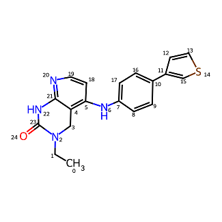 CCN1Cc2c(Nc3ccc(-c4ccsc4)cc3)ccnc2NC1=O